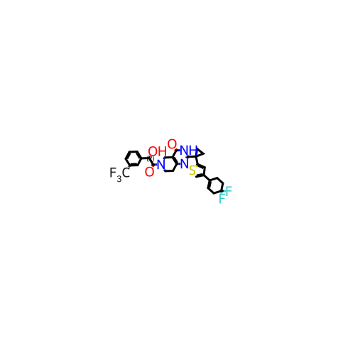 O=C([C@H](O)c1cccc(C(F)(F)F)c1)N1CCc2nc(C3(c4cc(C5=CCC(F)(F)CC5)cs4)CC3)[nH]c(=O)c2C1